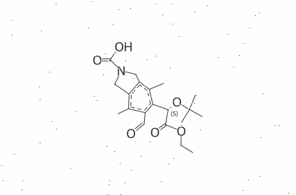 CCOC(=O)[C@@H](OC(C)(C)C)c1c(C)c2c(c(C)c1C=O)CN(C(=O)O)C2